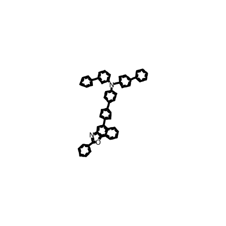 c1ccc(-c2ccc(N(c3ccc(-c4ccc(-c5cc6nc(-c7ccccc7)oc6c6ccccc56)cc4)cc3)c3cccc(-c4ccccc4)c3)cc2)cc1